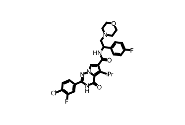 CC(C)c1c(C(=O)NC(CN2CCOCC2)c2ccc(F)cc2)cn2nc(-c3ccc(Cl)c(F)c3)[nH]c(=O)c12